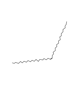 CCCCCCCCCCCCCCCCCCC/C=C\CCCCCCCCCCCCCCCCCCC